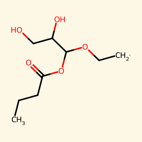 [CH2]COC(OC(=O)CCC)C(O)CO